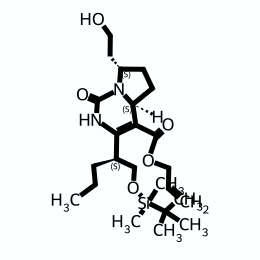 C=CCOC(=O)C1=C([C@H](CCC)CO[Si](C)(C)C(C)(C)C)NC(=O)N2[C@H](CCO)CC[C@@H]12